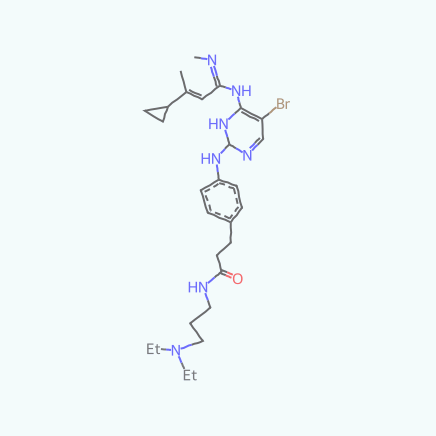 CCN(CC)CCCNC(=O)CCc1ccc(NC2N=CC(Br)=C(NC(/C=C(\C)C3CC3)=N/C)N2)cc1